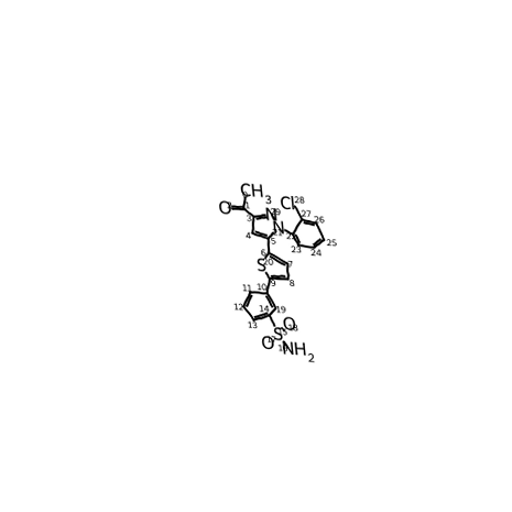 CC(=O)c1cc(-c2ccc(-c3cccc(S(N)(=O)=O)c3)s2)n(-c2ccccc2Cl)n1